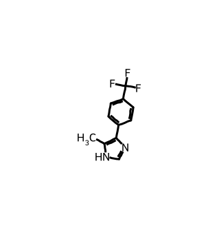 Cc1[nH]cnc1-c1ccc(C(F)(F)F)cc1